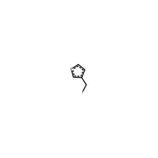 I[CH]c1ccsc1